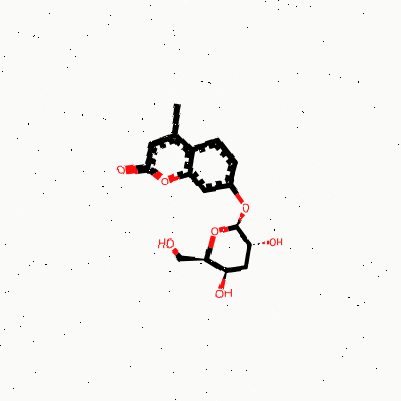 Cc1cc(=O)oc2cc(O[C@@H]3O[C@H](CO)[C@H](O)C[C@H]3O)ccc12